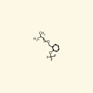 CC(C)C=NOCc1ccccc1OC(F)(F)F